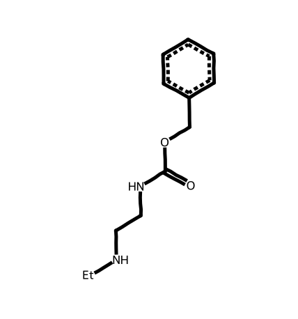 CCNCCNC(=O)OCc1ccccc1